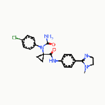 CN1CCN=C1c1ccc(NC(=O)C2(N(C(N)=O)c3ccc(Cl)cc3)CC2)cc1